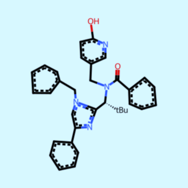 CC(C)(C)[C@H](c1nc(-c2ccccc2)cn1Cc1ccccc1)N(Cc1ccc(O)nc1)C(=O)c1ccccc1